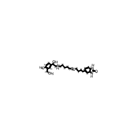 O=c1[nH]c2ccc(CCCCOCCCCCCNC[C@H](O)c3ccc(O)c(CO)c3)cc2[nH]1